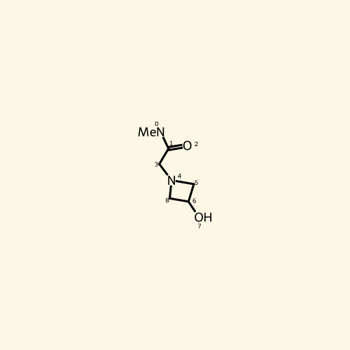 CNC(=O)CN1CC(O)C1